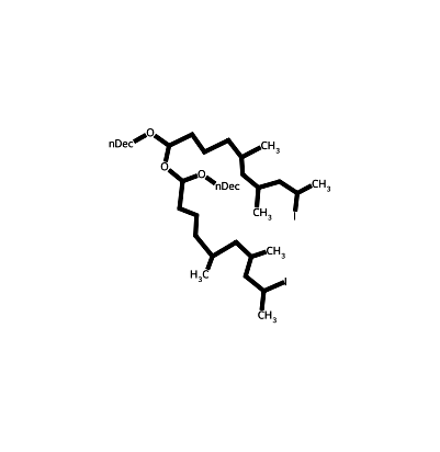 CCCCCCCCCCOC(CCCC(C)CC(C)CC(C)I)OC(CCCC(C)CC(C)CC(C)I)OCCCCCCCCCC